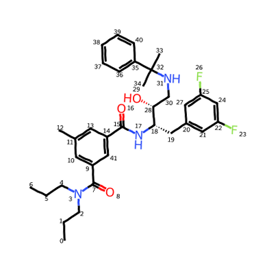 CCCN(CCC)C(=O)c1cc(C)cc(C(=O)N[C@@H](Cc2cc(F)cc(F)c2)[C@H](O)CNC(C)(C)c2ccccc2)c1